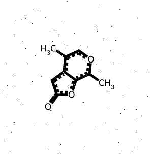 Cc1coc(C)c2oc(=O)cc1-2